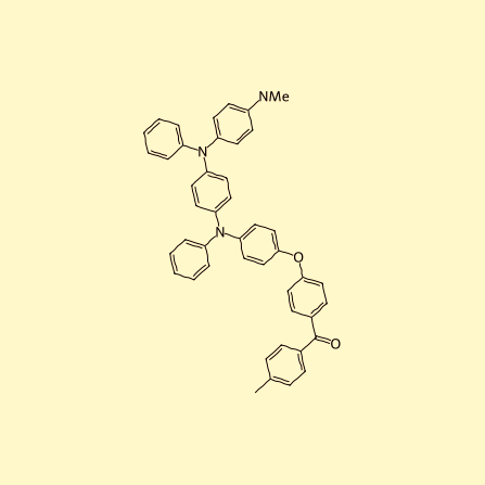 CNc1ccc(N(c2ccccc2)c2ccc(N(c3ccccc3)c3ccc(Oc4ccc(C(=O)c5ccc(C)cc5)cc4)cc3)cc2)cc1